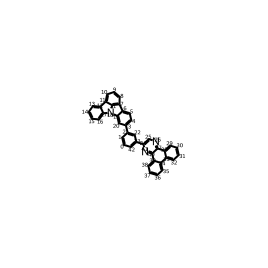 c1cc(-c2ccc3c4cccc5c6ccccc6n(c3c2)c54)cc(-c2cnc3c4ccccc4c4ccccc4c3n2)c1